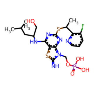 CC(C)CC(CO)Nc1nc(SC(C)c2ncccc2F)nc2c1sc(=N)n2COP(=O)(O)O